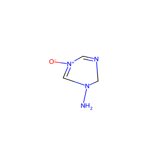 NN1C=[N+]([O-])C=NC1